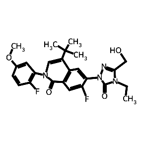 CCn1c(CO)nn(-c2cc3c(C(C)(C)C)cn(-c4cc(OC)ccc4F)c(=O)c3cc2F)c1=O